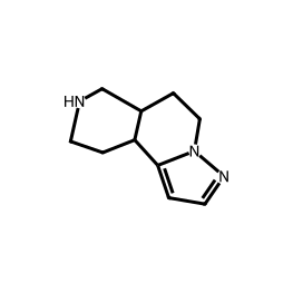 c1cc2n(n1)CCC1CNCCC21